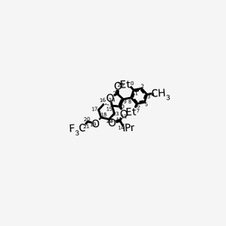 CCc1cc(C)cc(CC)c1C1=C(OC(=O)C(C)C)[C@]2(CC[C@H](OCC(F)(F)F)CC2)OC1=O